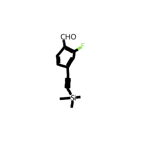 C[Si](C)(C)C#Cc1ccc(C=O)c(F)c1